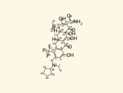 CCN(Cc1cc(O)c2c(c1C(F)(F)F)C[C@H]1C[C@H]3[C@H](N(C)C)C(O)=C(C(N)=O)C(=O)[C@@]3(O)C(O)=C1C2=O)C1CCCC1